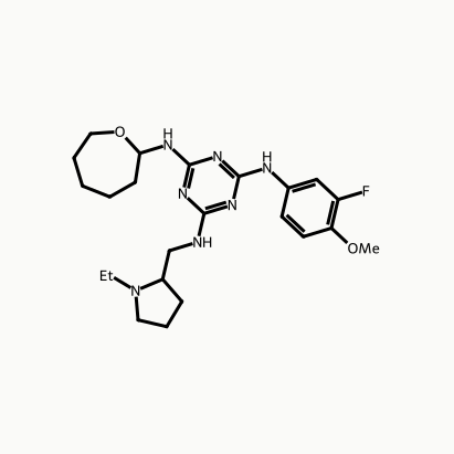 CCN1CCCC1CNc1nc(Nc2ccc(OC)c(F)c2)nc(NC2CCCCCO2)n1